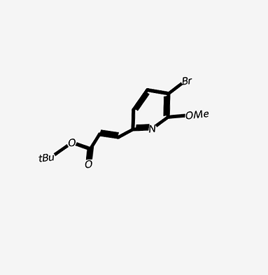 COc1nc(/C=C/C(=O)OC(C)(C)C)ccc1Br